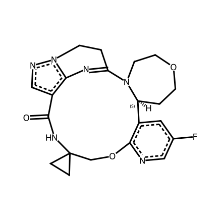 O=C1NC2(CC2)COc2ncc(F)cc2[C@@H]2CCOCCN2C2=Nc3c1cnn3CC2